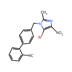 [C-]#[N+]c1ccccc1-c1ccc(Cn2c(C)nc([N+](=O)[O-])c2Br)cc1